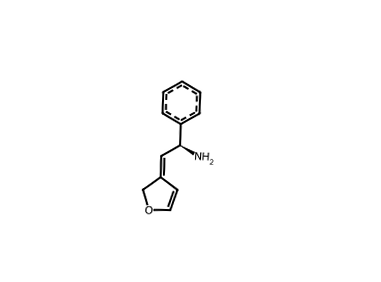 N[C@@H](C=C1C=COC1)c1ccccc1